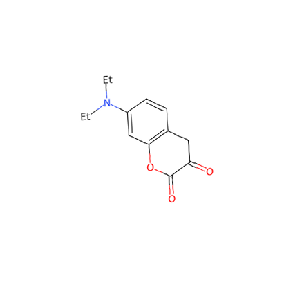 CCN(CC)c1ccc2c(c1)OC(=O)C(=O)C2